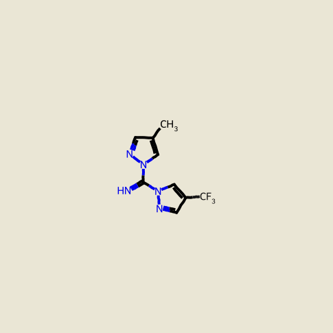 Cc1cnn(C(=N)n2cc(C(F)(F)F)cn2)c1